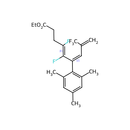 C=C(/C=C(\C(F)=C(/F)CCC(=O)OCC)c1c(C)cc(C)cc1C)C(F)(F)F